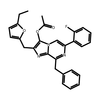 CCc1ccc(Cc2nc3c(Cc4ccccc4)nc(-c4ccccc4F)cn3c2OC(C)=O)o1